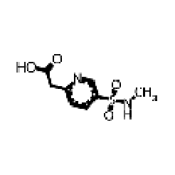 CNS(=O)(=O)c1ccc(CC(=O)O)nc1